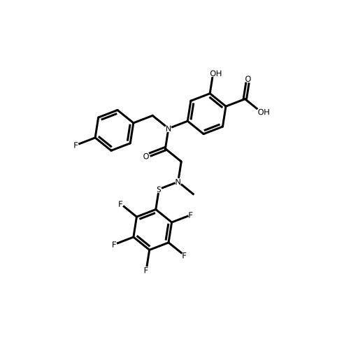 CN(CC(=O)N(Cc1ccc(F)cc1)c1ccc(C(=O)O)c(O)c1)Sc1c(F)c(F)c(F)c(F)c1F